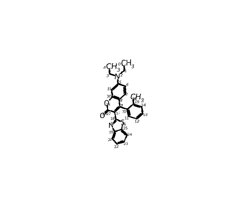 CCN(CC)c1ccc2c(-c3ccccc3C)c(-c3nc4ccccc4s3)c(=O)oc2c1